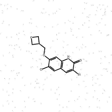 CCc1cc2cc(Cl)c(OCC3COC3)cc2[nH]c1=O